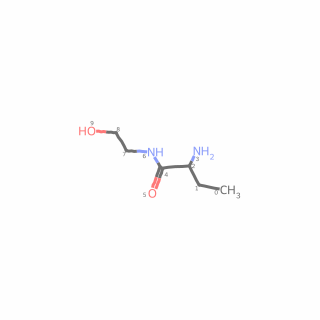 CCC(N)C(=O)NCCO